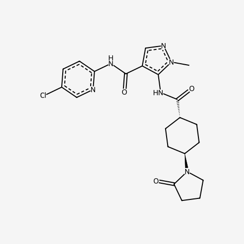 Cn1ncc(C(=O)Nc2ccc(Cl)cn2)c1NC(=O)[C@H]1CC[C@H](N2CCCC2=O)CC1